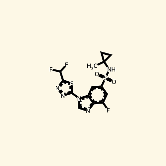 CC1(NS(=O)(=O)c2cc(F)c3ncn(-c4nnc(C(F)F)s4)c3c2)CC1